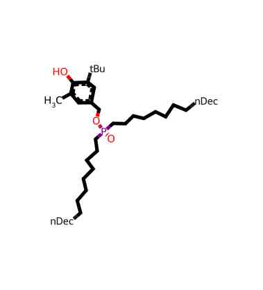 CCCCCCCCCCCCCCCCCCP(=O)(CCCCCCCCCCCCCCCCCC)OCc1cc(C)c(O)c(C(C)(C)C)c1